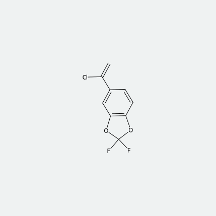 C=C(Cl)c1ccc2c(c1)OC(F)(F)O2